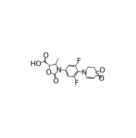 CC1[C@H](C(=O)O)OC(=O)N1c1cc(F)c(N2C=CS(=O)(=O)CC2)c(F)c1